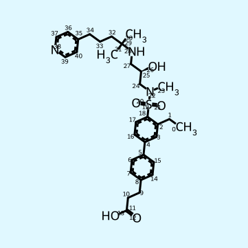 CCc1cc(-c2ccc(CCC(=O)O)cc2)ccc1S(=O)(=O)N(C)C[C@H](O)CNC(C)(C)CCCc1ccncc1